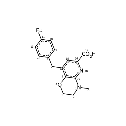 CN1CCOc2c(Cc3ccc(F)cc3)cc(C(=O)O)nc21